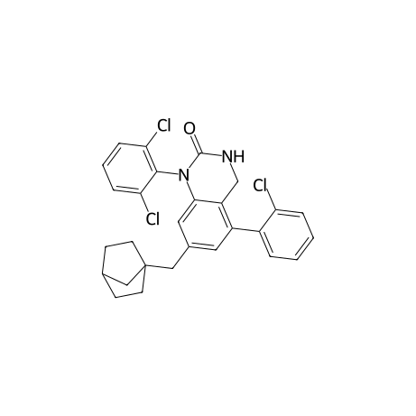 O=C1NCc2c(-c3ccccc3Cl)cc(CC34CCC(CC3)C4)cc2N1c1c(Cl)cccc1Cl